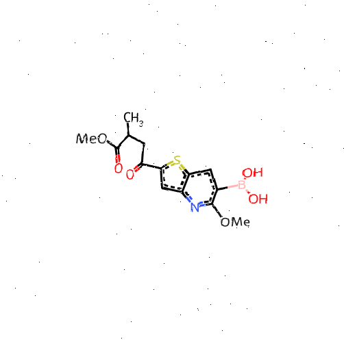 COC(=O)C(C)CC(=O)c1cc2nc(OC)c(B(O)O)cc2s1